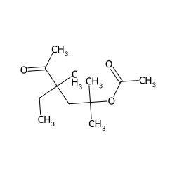 CCC(C)(CC(C)(C)OC(C)=O)C(C)=O